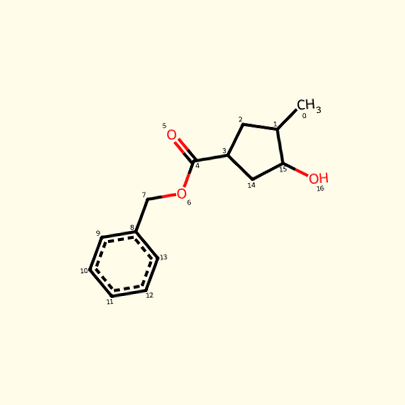 CC1CC(C(=O)OCc2ccccc2)CC1O